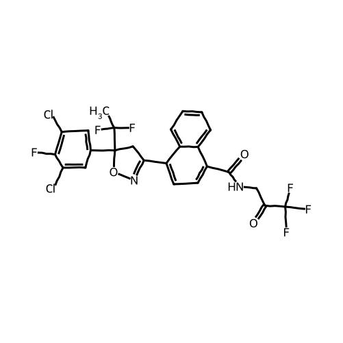 CC(F)(F)C1(c2cc(Cl)c(F)c(Cl)c2)CC(c2ccc(C(=O)NCC(=O)C(F)(F)F)c3ccccc23)=NO1